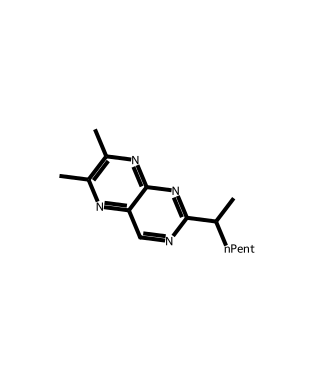 CCCCCC(C)c1ncc2nc(C)c(C)nc2n1